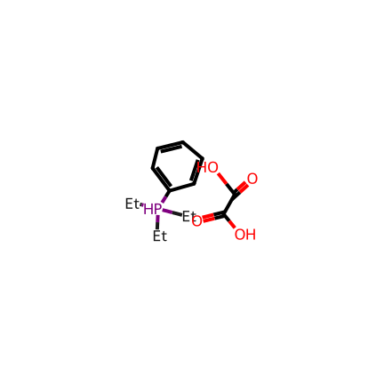 CC[PH](CC)(CC)c1ccccc1.O=C(O)C(=O)O